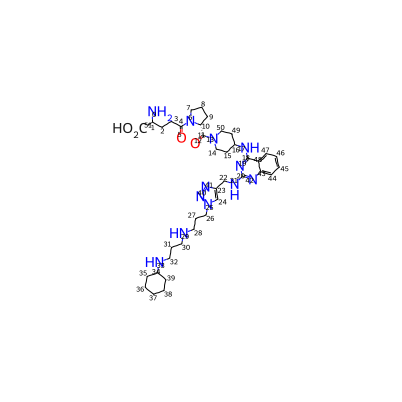 N[C@@H](CCC(=O)N1CCC[C@@H]1C(=O)N1CCC(Nc2nc(NCc3cn(CCCNCCCNC4CCCCC4)nn3)nc3ccccc23)CC1)C(=O)O